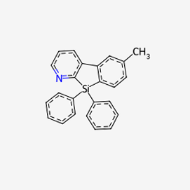 Cc1ccc2c(c1)-c1cccnc1[Si]2(c1ccccc1)c1ccccc1